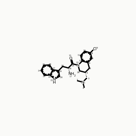 CN(C)C[C@H]1Cc2cc(Cl)ccc2N(C(=O)[C@H](N)Cc2c[nH]c3ccccc23)C1